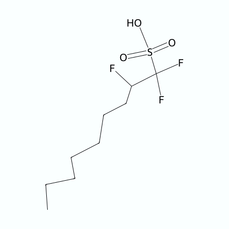 CCCCCCCC(F)C(F)(F)S(=O)(=O)O